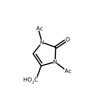 CC(=O)n1cc(C(=O)O)n(C(C)=O)c1=O